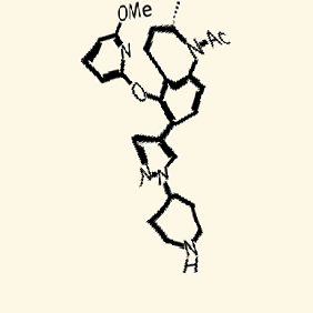 COc1cccc(Oc2c(-c3cnn(C4CCNCC4)c3)ccc3c2CC[C@H](C)N3C(C)=O)n1